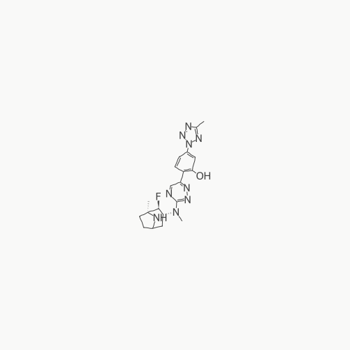 Cc1nnn(-c2ccc(-c3cnc(N(C)[C@@H]4CC5CC[C@](C)(N5)[C@H]4F)nn3)c(O)c2)n1